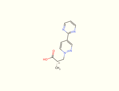 C[C@@H](C[n+]1ccc(-c2ncccn2)cn1)C(=O)O